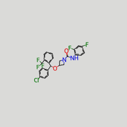 O=C(Nc1ccc(F)cc1F)N1CC(OC(c2ccc(Cl)cc2)c2ccccc2C(F)(F)F)C1